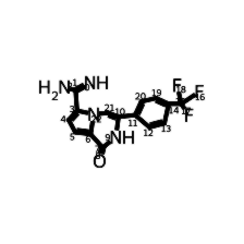 N=C(N)c1ccc2c(=O)[nH]c(-c3ccc(C(F)(F)F)cc3)cn12